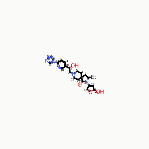 CCC1CC2(CCN(C[C@H](O)c3ccc(-n4cnnn4)nc3)CC2)C(=O)N1C1=CC(O)OC1